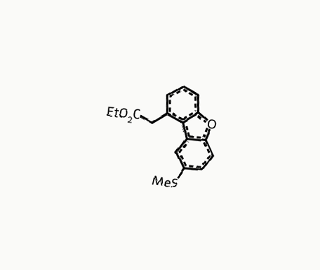 CCOC(=O)Cc1cccc2oc3ccc(SC)cc3c12